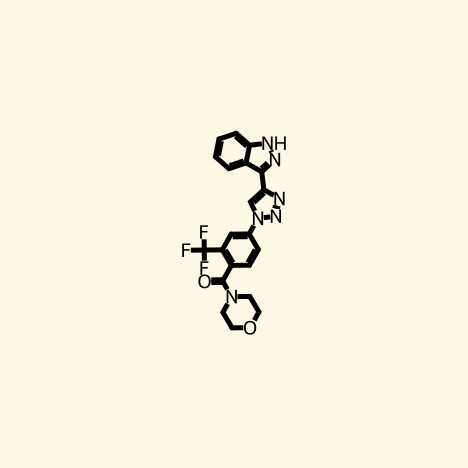 O=C(c1ccc(-n2cc(-c3n[nH]c4ccccc34)nn2)cc1C(F)(F)F)N1CCOCC1